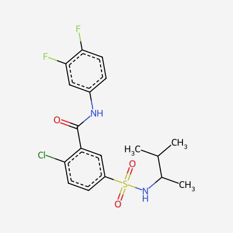 CC(C)C(C)NS(=O)(=O)c1ccc(Cl)c(C(=O)Nc2ccc(F)c(F)c2)c1